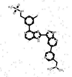 CN(C)Cc1cncc(-c2cnc3[nH]nc(-c4nc5c(-c6cc(F)cc(CNS(C)(=O)=O)c6)nccc5[nH]4)c3c2)c1